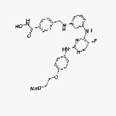 COCCOc1ccc(Nc2ncc(F)c(Nc3cccc(NCc4ccc(C(=O)NO)cc4)c3)n2)cc1